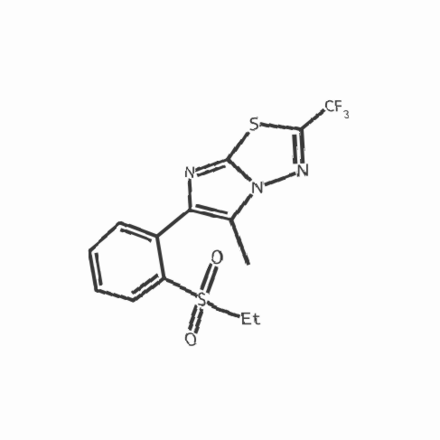 CCS(=O)(=O)c1ccccc1-c1nc2sc(C(F)(F)F)nn2c1C